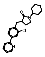 O=C1C(Cc2ccc(-c3ccccn3)cc2Cl)CCN1C1CCCCC1